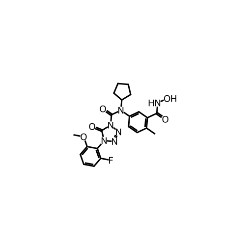 COc1cccc(F)c1-n1nnn(C(=O)N(c2ccc(C)c(C(=O)NO)c2)C2CCCC2)c1=O